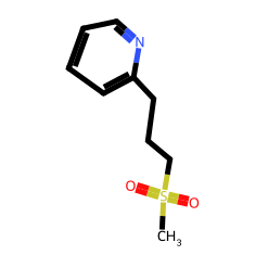 CS(=O)(=O)CCCc1ccccn1